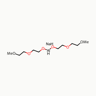 COCCOCC[O][AlH][O]CCOCCOC.[NaH]